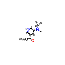 COC(=O)c1cncc(N(C)C2CC2)c1